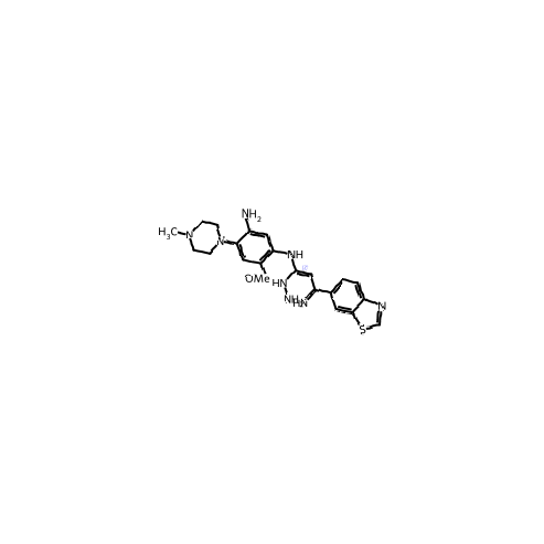 COc1cc(N2CCN(C)CC2)c(N)cc1N/C(=C/C(=N)c1ccc2ncsc2c1)NN